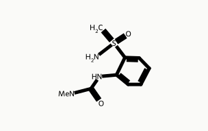 C=S(N)(=O)c1ccccc1NC(=O)NC